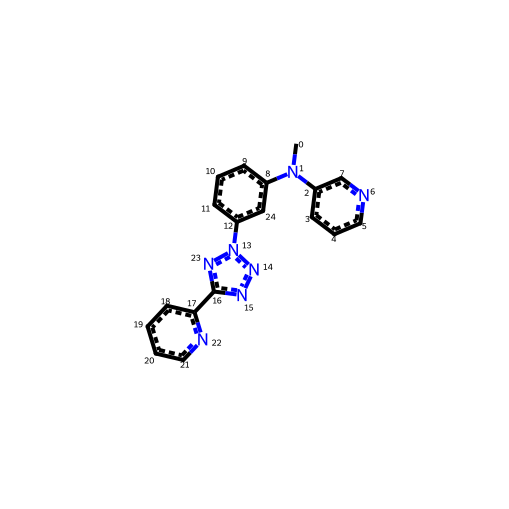 CN(c1cccnc1)c1cccc(-n2nnc(-c3ccccn3)n2)c1